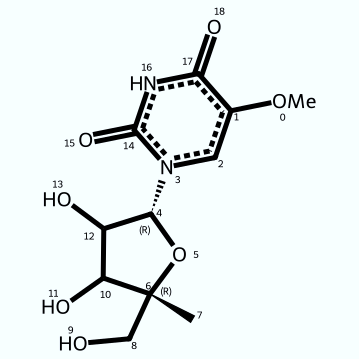 COc1cn([C@@H]2O[C@](C)(CO)C(O)C2O)c(=O)[nH]c1=O